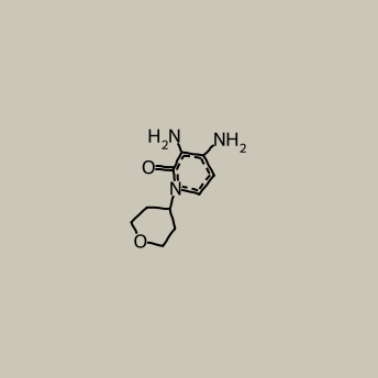 Nc1ccn(C2CCOCC2)c(=O)c1N